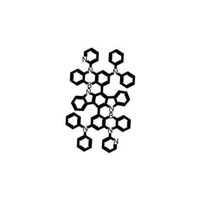 c1ccc(N(c2ccccc2)c2cc3c4c(c2)N(c2ccccn2)c2ccccc2B4n2c4ccccc4c4c5c6c(c-3c42)c2ccccc2n6B2c3ccccc3N(c3ccccn3)c3cc(N(c4ccccc4)c4ccccc4)cc-5c32)cc1